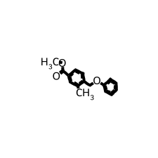 COC(=O)c1ccc(COc2ccccc2)c(C)c1